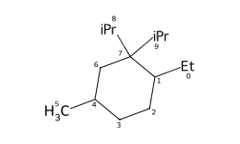 CCC1CCC(C)CC1(C(C)C)C(C)C